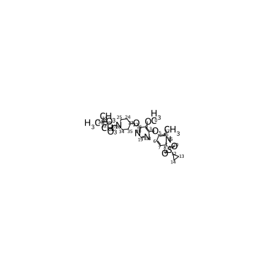 COc1c(Oc2ccc(S(=O)(=O)C3CC3)nc2C)ncnc1OC1CCN(C(=O)OC(C)(C)C)CC1